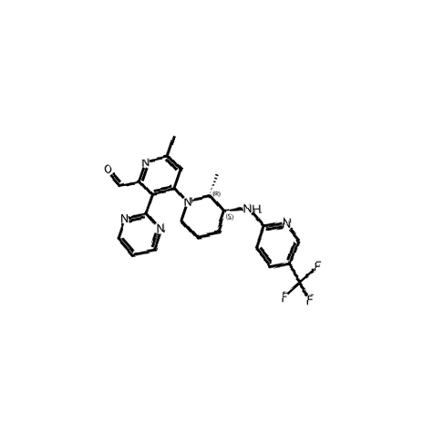 Cc1cc(N2CCC[C@H](Nc3ccc(C(F)(F)F)cn3)[C@H]2C)c(-c2ncccn2)c(C=O)n1